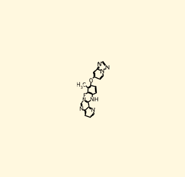 Cc1c(Oc2ccn3ncnc3c2)ccc(Nc2ncnc3cccnc23)c1F